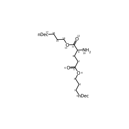 CCCCCCCCCCCCCOC(=O)CCC(N)C(=O)OCCCCCCCCCCCCC